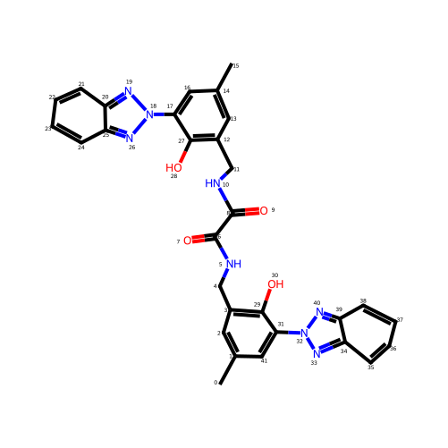 Cc1cc(CNC(=O)C(=O)NCc2cc(C)cc(-n3nc4ccccc4n3)c2O)c(O)c(-n2nc3ccccc3n2)c1